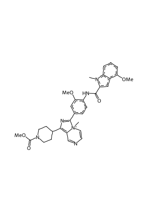 COC(=O)N1CCC(C2=C3C=NC=C[N+]3(C)C(c3ccc(NC(=O)c4cc5c(OC)cccc5n4C)c(OC)c3)=N2)CC1